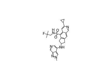 Cn1cc2c(NC3Cc4cc5cnc(C6CC6)cc5c(S(=O)(=O)NCC(C)(C)F)c4C3)cncc2n1